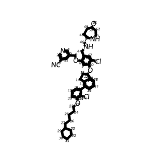 N#Cc1cncc(COc2cc(O[C@H]3CCc4c(-c5cccc(OCCCCCC6CCCCC6)c5Cl)cccc43)c(Cl)cc2CNC[C@@H]2CCC(=O)CCN2)c1